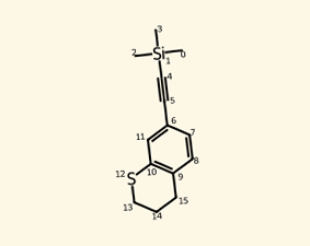 C[Si](C)(C)C#Cc1ccc2c(c1)SCCC2